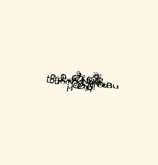 C=CCC(NC(=O)[C@@H]1CCCN1C(=O)[C@@H](NC(=O)OC(C)(C)C)C1CCCC1)C(=O)C(=O)NCCC(=O)CC(C)(C)C